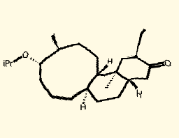 CC(C)O[C@H]1CCC[C@@H]2CC[C@H]3CC(=O)[C@H](C)C[C@]3(C)[C@H]2CC[C@@H]1C